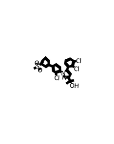 CC(C)(O)c1cc(-c2cccc(Cl)c2Cl)n(-c2ccc(-c3cccc(S(C)(=O)=O)c3)cc2Cl)n1